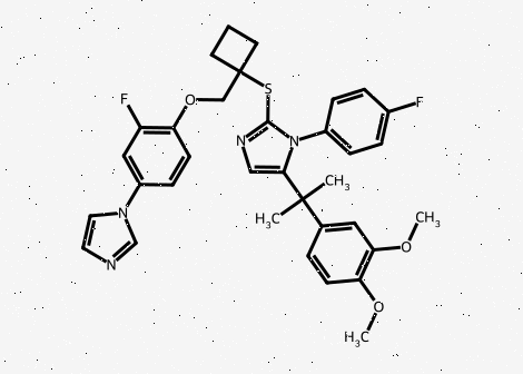 COc1ccc(C(C)(C)c2cnc(SC3(COc4ccc(-n5ccnc5)cc4F)CCC3)n2-c2ccc(F)cc2)cc1OC